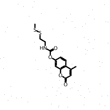 CSSCCNC(=O)Oc1ccc2c(C)cc(=O)oc2c1